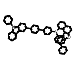 c1ccc(-c2ccc(N(c3ccc(-c4ccc(-c5ccc6c(c5)c5ccccc5n6-c5ccccc5)cc4)cc3)c3cccc4ccc5oc6ccccc6c5c34)cc2)cc1